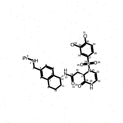 CC(C)NCc1ccc2c(c1)CCC[C@H]2NC(=O)C[C@@H]1C(=O)NC=CN1S(=O)(=O)c1ccc(Cl)c(Cl)c1